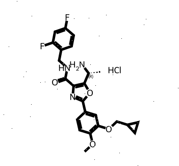 COc1ccc(-c2nc(C(=O)NCc3ccc(F)cc3F)c([C@@H](C)N)o2)cc1OCC1CC1.Cl